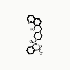 O=[N+]([O-])c1ccccc1S(=O)(=O)N1CCN(Cc2ccc3cccnc3c2O)CC1